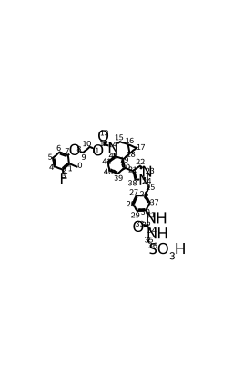 Cc1c(F)cccc1OCCOC(=O)N1CC2CC2c2c(-c3cnn(Cc4cccc(NC(=O)NCS(=O)(=O)O)c4)c3)cccc21